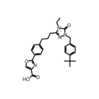 CCn1c(CCCc2ccc(-c3nc(C(=O)O)co3)cc2)nn(Cc2ccc(C(C)(C)C)cc2)c1=O